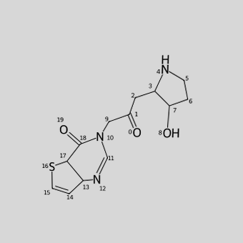 O=C(CC1NCCC1O)CN1C=NC2C=CSC2C1=O